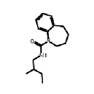 CCC(C)CNC(=O)N1CCCCc2ccccc21